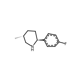 C[C@@H]1CC[C@@H](c2ccc(F)cc2)NC1